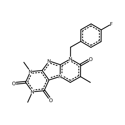 Cc1cn2c3c(=O)n(C)c(=O)n(C)c3nc2n(Cc2ccc(F)cc2)c1=O